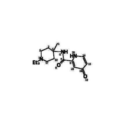 CCN1CCC(C)(NC(=O)c2cc(=O)cc[nH]2)CC1